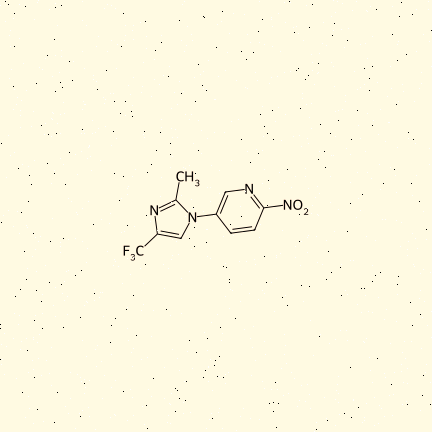 Cc1nc(C(F)(F)F)cn1-c1ccc([N+](=O)[O-])nc1